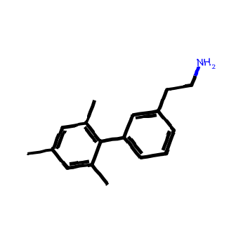 Cc1cc(C)c(-c2cccc(CCN)c2)c(C)c1